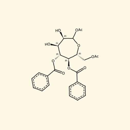 CC(=O)OC[C@H]1OC(OC(C)=O)[C@H](O)[C@H](O)[C@@H](OC(=O)c2ccccc2)[C@@H]1OC(=O)c1ccccc1